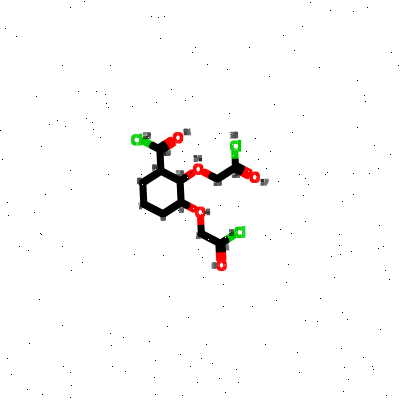 O=C(Cl)COC1CCCC(C(=O)Cl)C1OCC(=O)Cl